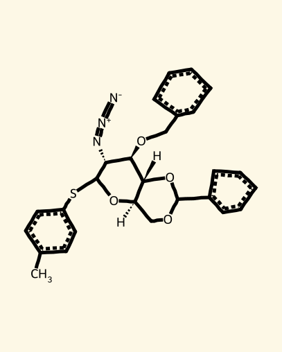 Cc1ccc(SC2O[C@@H]3COC(c4ccccc4)O[C@H]3[C@H](OCc3ccccc3)[C@H]2N=[N+]=[N-])cc1